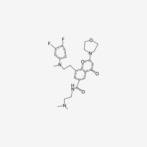 CN(C)CCNC(=O)c1cc(CCN(C)c2ccc(F)c(F)c2)c2oc(N3CCOCC3)cc(=O)c2c1